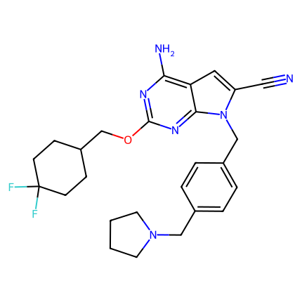 N#Cc1cc2c(N)nc(OCC3CCC(F)(F)CC3)nc2n1Cc1ccc(CN2CCCC2)cc1